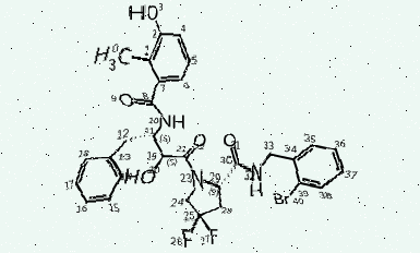 Cc1c(O)cccc1C(=O)N[C@@H](Cc1ccccc1)[C@H](O)C(=O)N1CC(F)(F)C[C@H]1C(=O)NCc1ccccc1Br